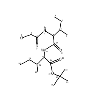 CCC(C)C(NC(=O)CCl)C(=O)NC(C(=O)OC(C)(C)C)C(C)CC